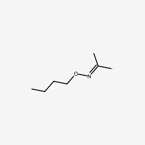 [CH2]C(C)=NOCCCC